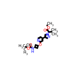 CCOC(=O)C(C(C)C)n1cc(-c2ccnc(O[C@H]3C[C@@H](NC(=O)OC(C)(C)C)C3)c2)cn1